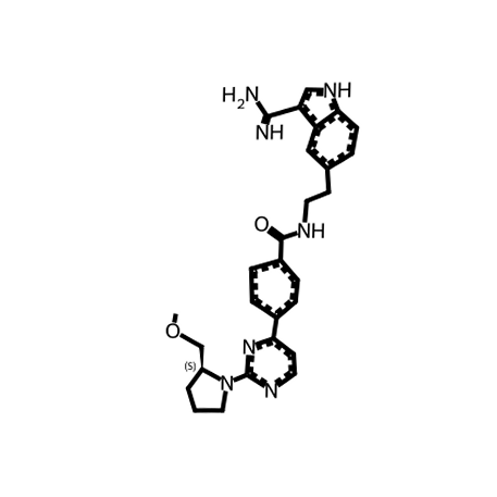 COC[C@@H]1CCCN1c1nccc(-c2ccc(C(=O)NCCc3ccc4[nH]cc(C(=N)N)c4c3)cc2)n1